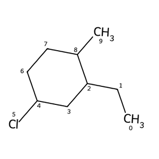 CCC1CC(Cl)CCC1C